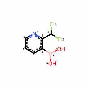 OB(O)c1cccnc1C(F)F